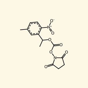 Cc1ccc([N+](=O)[O-])c(C(C)OC(=O)ON2C(=O)CCC2=O)c1